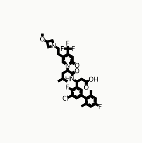 COC1CN(CCc2cn(C(CC(C)C)C(=O)NC(CC(=O)O)c3cc(-c4c(C)cc(F)cc4C)cc(Cl)c3F)c(=O)cc2C(F)(F)F)C1